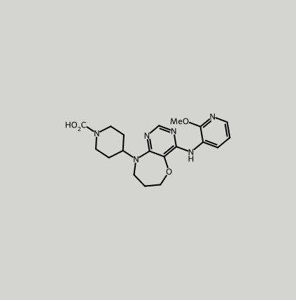 COc1ncccc1Nc1ncnc2c1OCCCN2C1CCN(C(=O)O)CC1